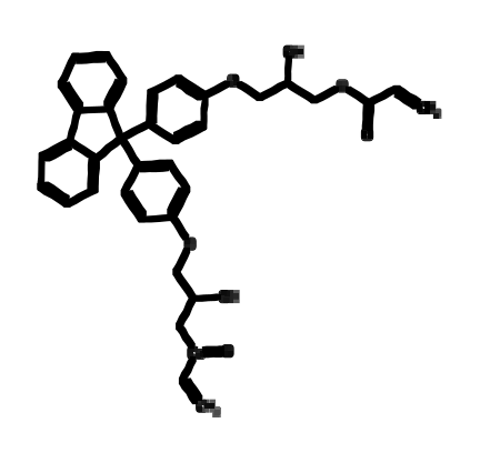 C=CC(=O)OCC(O)COc1ccc(C2(c3ccc(OCC(O)[CH2][Co](=[O])[CH]=C)cc3)c3ccccc3-c3ccccc32)cc1